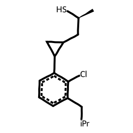 CC(C)Cc1cccc(C2CC2C[C@H](C)S)c1Cl